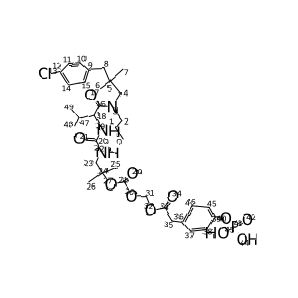 CCCN(CC(C)(C)Cc1ccc(Cl)cc1)C(=O)C(NC(=O)NCC(C)(C)OC(=O)OCOC(=O)Cc1ccc(OP(=O)(O)O)cc1)C(C)C